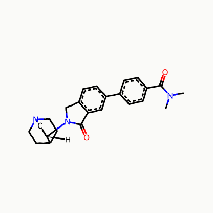 CN(C)C(=O)c1ccc(-c2ccc3c(c2)C(=O)N([C@H]2CN4CCC2CC4)C3)cc1